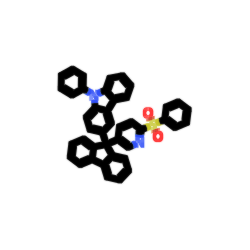 O=S(=O)(c1ccccc1)c1ccc(C2(c3ccc4c(c3)c3ccccc3n4-c3ccccc3)c3ccccc3-c3ccccc32)cn1